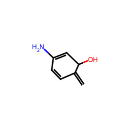 C=C1C=CC(N)=CC1O